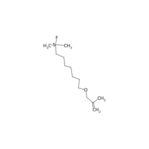 C=C(C)COCCCCCCC[Si](C)(C)F